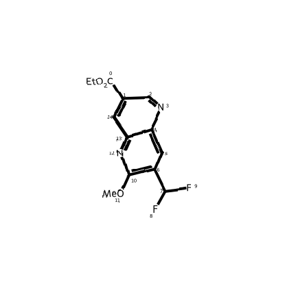 CCOC(=O)c1cnc2cc(C(F)F)c(OC)nc2c1